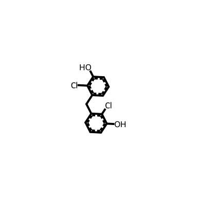 Oc1cccc(Cc2cccc(O)c2Cl)c1Cl